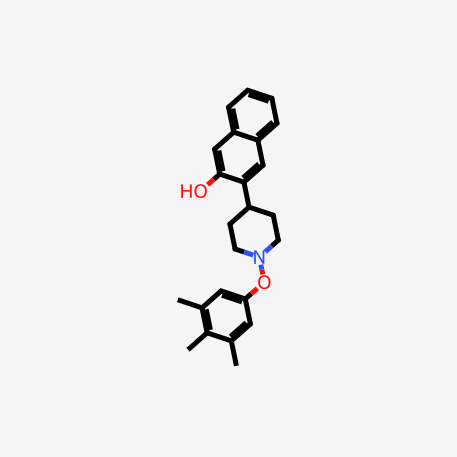 Cc1cc(ON2CCC(c3cc4ccccc4cc3O)CC2)cc(C)c1C